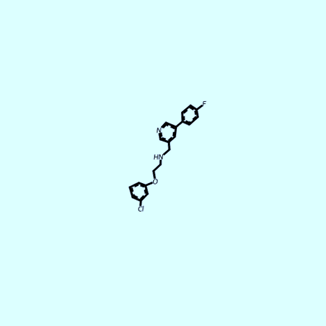 Fc1ccc(-c2cncc(CNCCOc3cccc(Cl)c3)c2)cc1